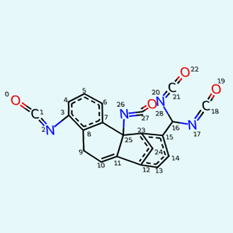 O=C=Nc1cccc2c1CC=C1c3ccc(C(N=C=O)N=C=O)c(c3)C12N=C=O